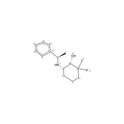 C[C@@H](N[C@H]1CCCC(F)(F)[C@H]1O)c1ccccc1